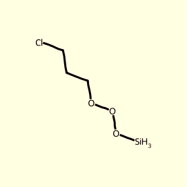 [SiH3]OOOCCCCl